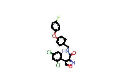 O=C(NCc1ccc(Oc2ccc(F)cc2)cc1)c1nocc1-c1ccc(Cl)cc1Cl